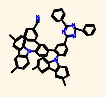 Cc1ccc2c(c1)c1cc(C)ccc1n2-c1ccc(-c2nc(-c3ccccc3)nc(-c3ccccc3)n2)cc1-c1ccc(-n2c3ccc(C)cc3c3cc(C)ccc32)c(-c2cccc(C#N)c2)c1